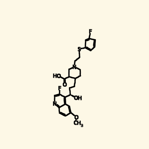 COc1ccc2ncc(F)c([C@H](O)CCC3CCN(CCSc4cccc(F)c4)CC3C(=O)O)c2c1